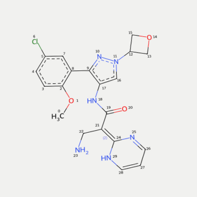 COc1ccc(Cl)cc1-c1nn(C2COC2)cc1NC(=O)/C(CN)=C1\N=CC=CN1